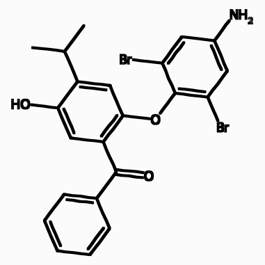 CC(C)c1cc(Oc2c(Br)cc(N)cc2Br)c(C(=O)c2ccccc2)cc1O